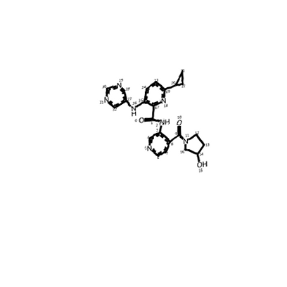 O=C(Nc1cnccc1C(=O)N1CCC(O)C1)c1nc(C2CC2)ccc1Nc1cncnc1